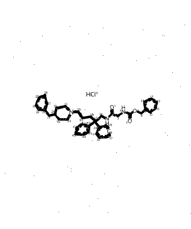 Cl.O=C(CNC(=O)OCc1ccccc1)NCC(CCCN1CCC(Cc2ccccc2)CC1)(c1ccccc1)c1ccccc1